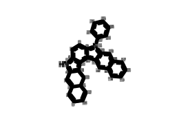 C1=CC2=Cc3[nH]c4ccc5c(c6cc7ccccc7cc6n5-c5ccccc5)c4c3CC2C=C1